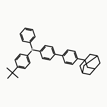 CC(C)(C)c1ccc(N(c2ccccc2)c2ccc(-c3ccc(C45CC6CC(CC(C6)C4)C5)cc3)cc2)cc1